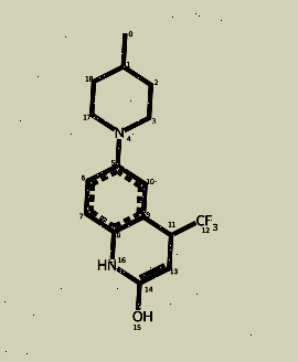 CC1CCN(c2ccc3c(c2)C(C(F)(F)F)C=C(O)N3)CC1